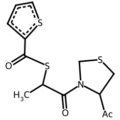 CC(=O)C1CSCN1C(=O)C(C)SC(=O)c1cccs1